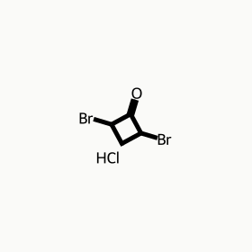 Cl.O=C1C(Br)CC1Br